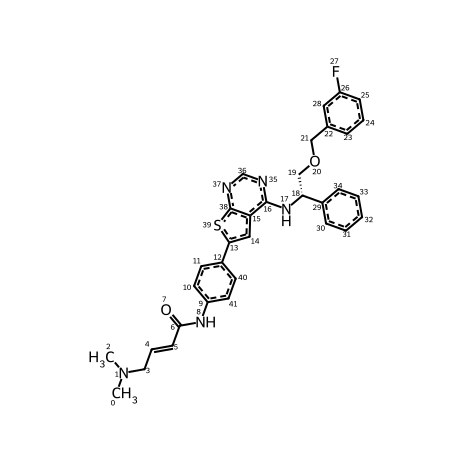 CN(C)C/C=C/C(=O)Nc1ccc(-c2cc3c(N[C@H](COCc4cccc(F)c4)c4ccccc4)ncnc3s2)cc1